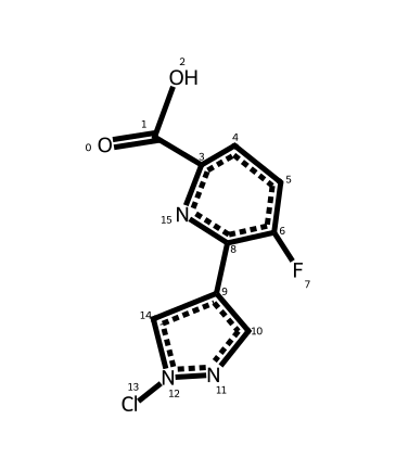 O=C(O)c1ccc(F)c(-c2cnn(Cl)c2)n1